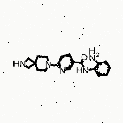 Nc1ccccc1NC(=O)c1ccc(N2CCC3(CC2)CNC3)nc1